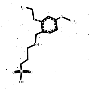 CCCc1cc(OC)ccc1CNCCCS(=O)(=O)O